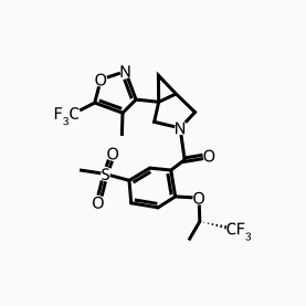 Cc1c(C23CC2CN(C(=O)c2cc(S(C)(=O)=O)ccc2O[C@@H](C)C(F)(F)F)C3)noc1C(F)(F)F